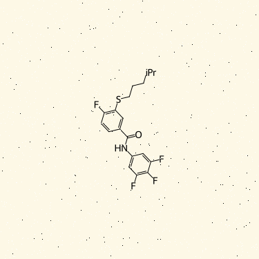 CC(C)CCCSc1cc(C(=O)Nc2cc(F)c(F)c(F)c2)ccc1F